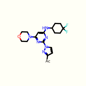 CC(=O)c1ccn(-c2nc(NC3CCC(F)(F)CC3)cc(N3CCOCC3)n2)n1